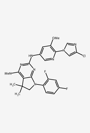 CNc1nc(Nc2cnc(-n3cnc(Cl)c3)c(OC)c2)nc2c1C(C)(C)CN2c1ccc(F)cc1F